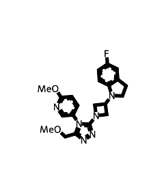 COCc1nnc(N2CC(N3CCc4cc(F)ccc43)C2)n1-c1ccc(OC)nc1